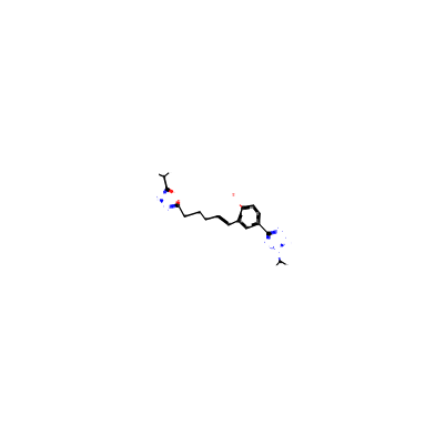 COc1ccc(-c2nnn(C(C)C)n2)cc1/C=C/CCCc1nnc(C(C)C)o1